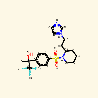 CC(O)(c1ccc(S(=O)(=O)N2CCCCC2CCn2ccnc2)cc1)C(F)(F)F